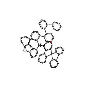 c1ccc(-c2ccccc2-c2ccccc2-c2ccccc2N(c2cccc3c2-c2ccccc2C32c3ccccc3-c3ccccc32)c2cccc3oc4ccccc4c23)cc1